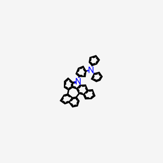 c1ccc(N(c2ccccc2)c2cccc(-n3c4cccc5c4c4c(c6ccccc6cc43)-c3cccc4cccc-5c34)c2)cc1